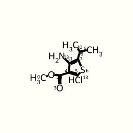 COC(=O)c1csc(C(C)C)c1N.Cl